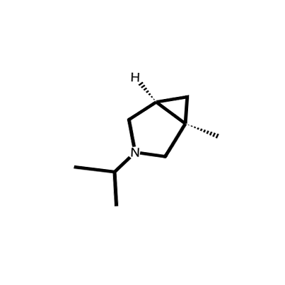 CC(C)N1C[C@H]2C[C@@]2(C)C1